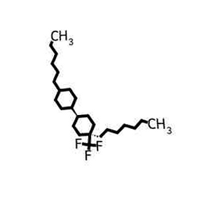 CCCCCCC[C@]1(C(F)(F)F)CC[C@@H](C2CCC(CCCCCC)CC2)CC1